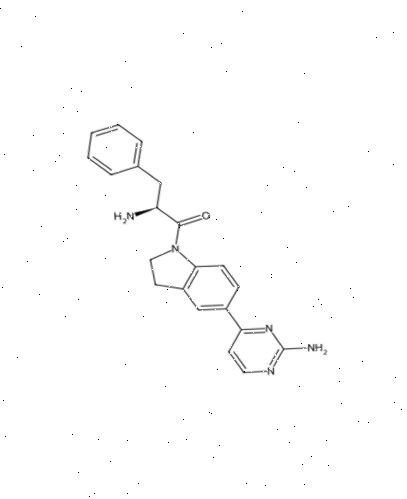 Nc1nccc(-c2ccc3c(c2)CCN3C(=O)[C@@H](N)Cc2ccccc2)n1